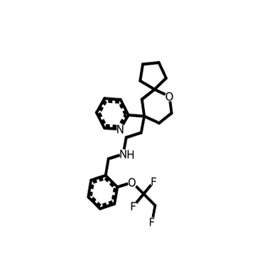 FCC(F)(F)Oc1ccccc1CNCCC1(c2ccccn2)CCOC2(CCCC2)C1